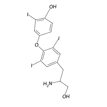 NC(CO)Cc1cc(I)c(Oc2ccc(O)c(I)c2)c(I)c1